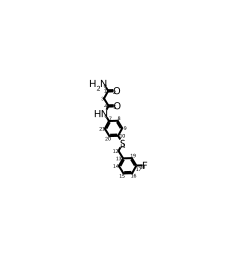 NC(=O)CC(=O)Nc1ccc(SCc2cccc(F)c2)cc1